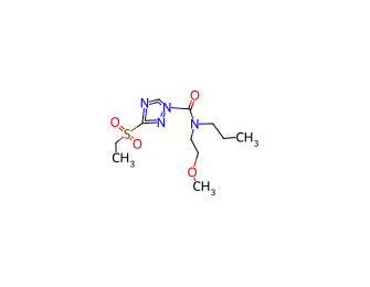 CCCN(CCOC)C(=O)n1cnc(S(=O)(=O)CC)n1